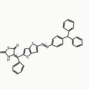 O=C1SC(=S)N/C1=C(\c1ccccc1)c1cc2sc(/N=N/c3ccc(C(c4ccccc4)c4ccccc4)cc3)cc2s1